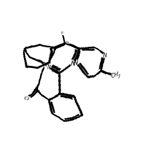 Cc1cnc(OC2CC3CCC2N(C(=O)c2ccccc2-c2ncc(F)cn2)C3)cn1